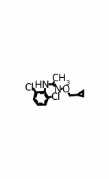 CC(=NOCC1CC1)Nc1c(Cl)cccc1Cl